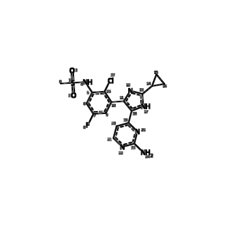 CS(=O)(=O)Nc1cc(F)cc(-c2nc(C3CC3)[nH]c2-c2ccnc(N)n2)c1Cl